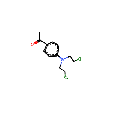 CC(=O)c1ccc(N(CCCl)CCCl)cc1